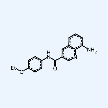 CCOc1ccc(NC(=O)c2cnc3c(N)cccc3c2)cc1